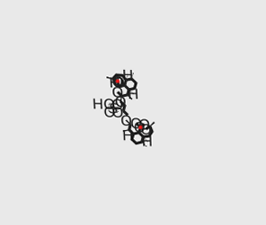 C[C@H]1[C@@H](OCC(CO[C@H]2O[C@@H]3O[C@@]4(C)CC[C@H]5[C@H](C)CC[C@@H]([C@H]2C)[C@@]35OO4)OS(=O)(=O)O)OC2O[C@@]3(C)CC[C@H]4[C@H](C)CC[C@@H]1[C@@]24OO3